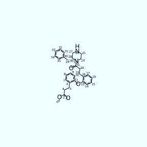 COC(=O)CCc1ccccc1Oc1ccccc1CCC(=O)N1CCNC[C@H]1Cc1ccccc1